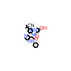 CC(C)(C#N)c1ccc(N(C(=O)[C@H]2C[C@@H](O)CN2)C(C(=O)NC2CCCCC2)c2cccnc2)cc1